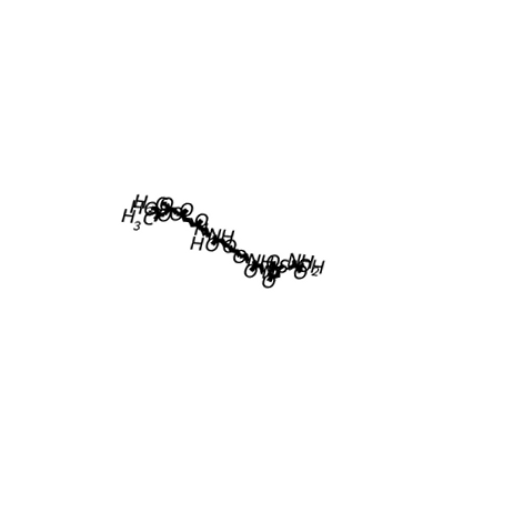 CCC(CO)OC(COC(=O)CCCC(=O)NCCNC(=O)CCOCCOCCNC(=O)CCN1C(=O)CC(SCC(N)C(=O)O)C1=O)OC